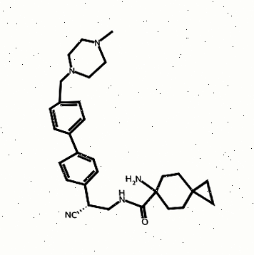 CN1CCN(Cc2ccc(-c3ccc([C@@H](C#N)CNC(=O)C4(N)CCC5(CC5)CC4)cc3)cc2)CC1